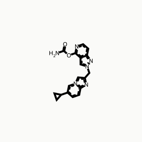 NC(=O)Oc1nccc2nn(Cc3cn4cc(C5CC5)ccc4n3)cc12